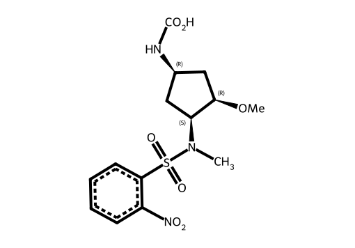 CO[C@@H]1C[C@H](NC(=O)O)C[C@@H]1N(C)S(=O)(=O)c1ccccc1[N+](=O)[O-]